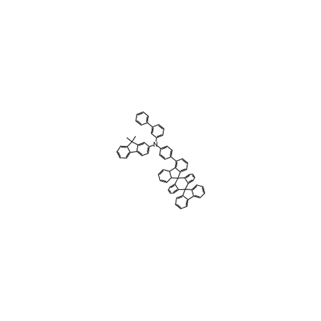 CC1(C)c2ccccc2-c2ccc(N(c3ccc(-c4cccc5c4C4C=CC=CC4C54c5ccccc5C5(c6ccccc6-c6ccccc65)c5ccccc54)cc3)c3cccc(-c4ccccc4)c3)cc21